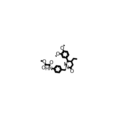 CCC1CC(=O)N(Cc2ccc(NC(=O)C(=O)OC)cc2)N=C1c1ccc(OC)c(OC)c1